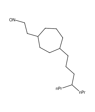 CCCC(CCC)CCCC1CCCC(CCN=O)CC1